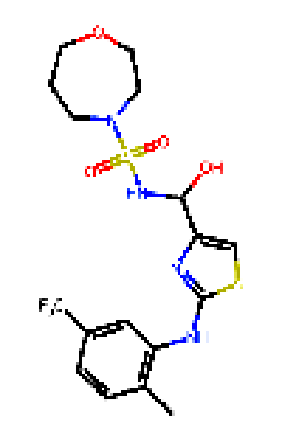 Cc1ccc(C(F)(F)F)cc1Nc1nc(C(O)NS(=O)(=O)N2CCCOCC2)cs1